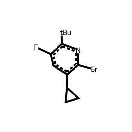 CC(C)(C)c1nc(Br)c(C2CC2)cc1F